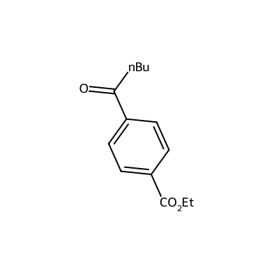 CCCCC(=O)c1ccc(C(=O)OCC)cc1